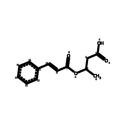 CC(CC(=O)O)OC(=O)C=Cc1ccccc1